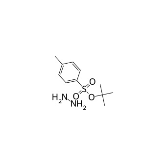 Cc1ccc(S(=O)(=O)OC(C)(C)C)cc1.NN